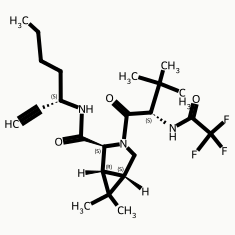 C#C[C@H](CCCC)NC(=O)[C@@H]1[C@@H]2[C@H](CN1C(=O)[C@@H](NC(=O)C(F)(F)F)C(C)(C)C)C2(C)C